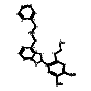 COCOc1cc(OC)c(OC)cc1-c1nc2c(CNCc3ccccn3)cccc2o1